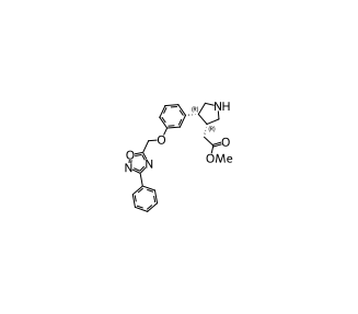 COC(=O)C[C@H]1CNC[C@H]1c1cccc(OCc2nc(-c3ccccc3)no2)c1